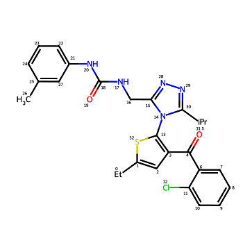 CCc1cc(C(=O)c2ccccc2Cl)c(-n2c(CNC(=O)Nc3cccc(C)c3)nnc2C(C)C)s1